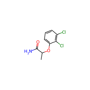 CC(Oc1cccc(Cl)c1Cl)C(N)=O